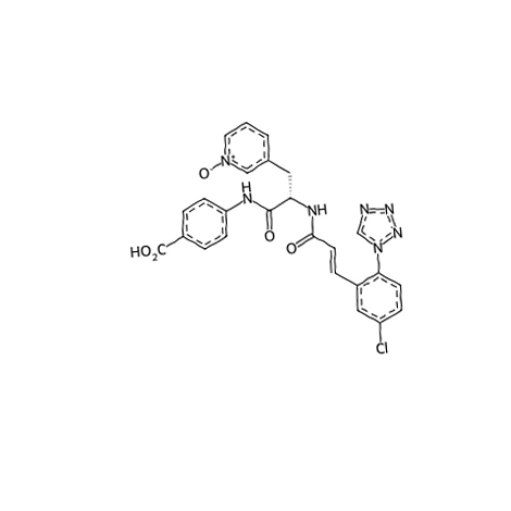 O=C(C=Cc1cc(Cl)ccc1-n1cnnn1)N[C@@H](Cc1ccc[n+]([O-])c1)C(=O)Nc1ccc(C(=O)O)cc1